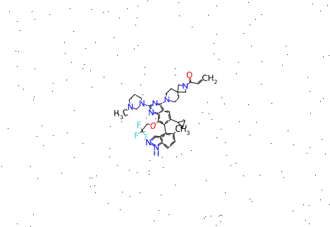 C=CC(=O)N1CC2(CCN(c3nc(N4CCCN(C)C4)nc4c(OCC(F)(F)F)c(-c5c(C)ccc6[nH]ncc56)c(C5CC5)cc34)CC2)C1